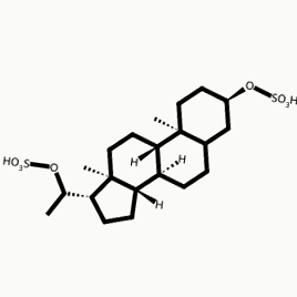 CC(OS(=O)(=O)O)[C@H]1CC[C@H]2[C@@H]3CCC4C[C@H](OS(=O)(=O)O)CC[C@]4(C)[C@H]3CC[C@]12C